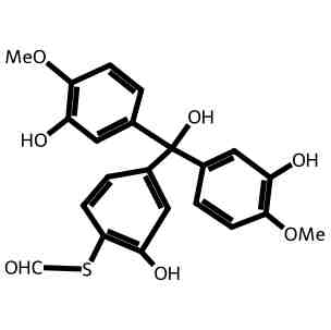 COc1ccc(C(O)(c2ccc(OC)c(O)c2)c2ccc(SC=O)c(O)c2)cc1O